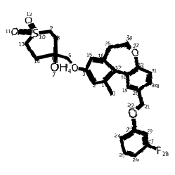 Cc1cc(OCC2(O)CCS(=O)(=O)CC2)cc2c1-c1cc(COc3cccc(F)c3)ccc1OCC2